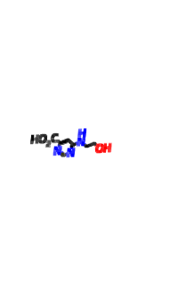 O=C(O)c1cc(NCCO)ncn1